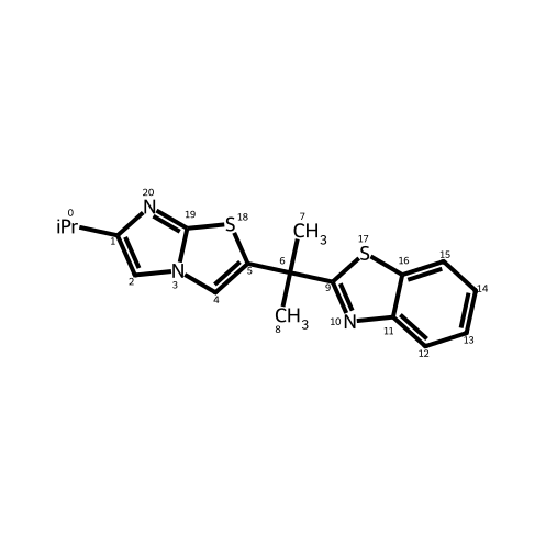 CC(C)c1cn2cc(C(C)(C)c3nc4ccccc4s3)sc2n1